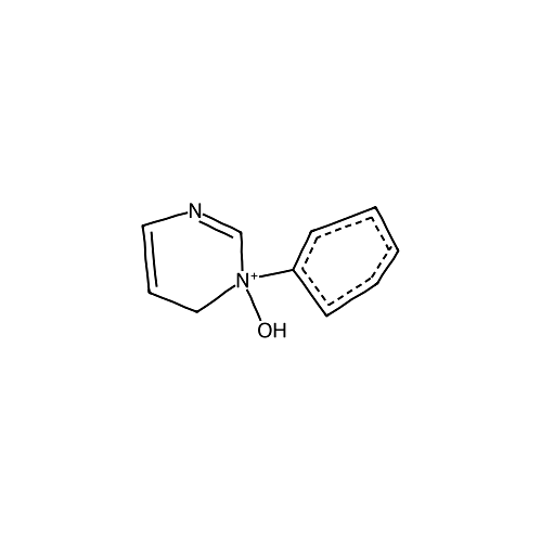 O[N+]1(c2ccccc2)C=NC=CC1